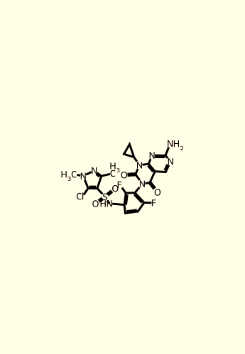 Cc1nn(C)c(Cl)c1S(=O)(=O)Nc1ccc(F)c(-n2c(=O)c3cnc(N)nc3n(C3CC3)c2=O)c1F